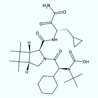 CC(C)(C)N(C(=O)O)[C@H](C(=O)N1C[C@H]2[C@@H]([C@H]1C(=O)N[C@@H](CC1CC1)C(=O)C(N)=O)C(C)(C)C2(C)C)C1CCCCC1